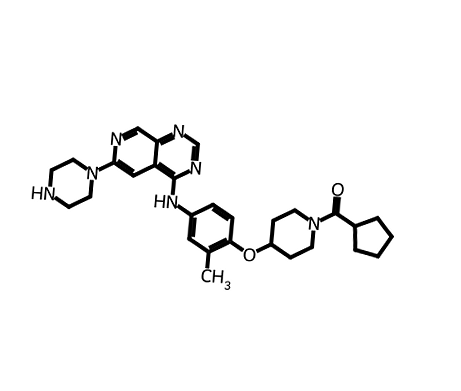 Cc1cc(Nc2ncnc3cnc(N4CCNCC4)cc23)ccc1OC1CCN(C(=O)C2CCCC2)CC1